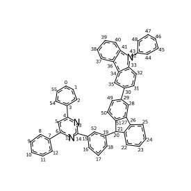 c1ccc(-c2cc(-c3ccccc3)nc(-c3cccc(C4c5ccccc5-c5cc(-c6ccc7c(c6)c6ccccc6n7-c6ccccc6)ccc54)c3)n2)cc1